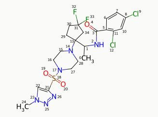 CC(NC(=O)c1ccc(Cl)cc1Cl)C1(N2CCN(S(=O)(=O)c3cn(C)nn3)CC2)CCC(F)(F)C1